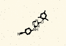 Cc1cc(C)c(Oc2ncnc(Nc3ccc(C#N)cc3)n2)c(C)c1